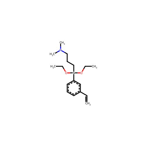 C=Cc1cccc([Si](CCCN(C)C)(OCC)OCC)c1